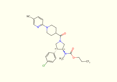 CN(C(=O)OCCC(F)(F)F)[C@@H]1CN(C(=O)C2CCN(c3ccc(C#N)cn3)CC2)C[C@H]1c1ccc(Cl)cc1